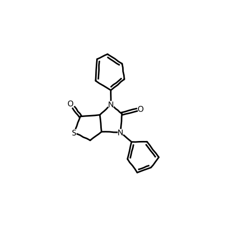 O=C1SCC2C1N(c1ccccc1)C(=O)N2c1ccccc1